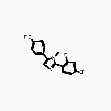 Cn1c(-c2ccc(C(F)(F)F)cc2)cnc1-c1ccc(C(F)(F)F)cc1F